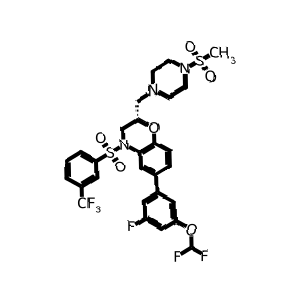 CS(=O)(=O)N1CCN(C[C@H]2CN(S(=O)(=O)c3cccc(C(F)(F)F)c3)c3cc(-c4cc(F)cc(OC(F)F)c4)ccc3O2)CC1